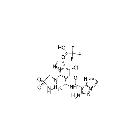 CC(NC(=O)c1c(N)nn2cccnc12)c1cc(Cl)c2ccnn2c1N1CCNS(=O)(=O)CC1.O=C(O)C(F)(F)F